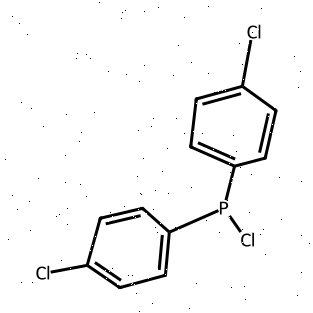 Clc1ccc(P(Cl)c2ccc(Cl)cc2)cc1